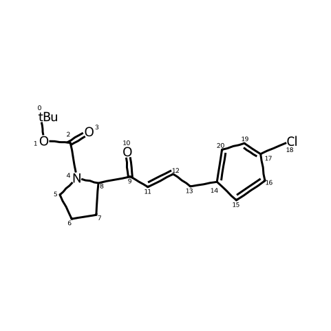 CC(C)(C)OC(=O)N1CCCC1C(=O)/C=C/Cc1ccc(Cl)cc1